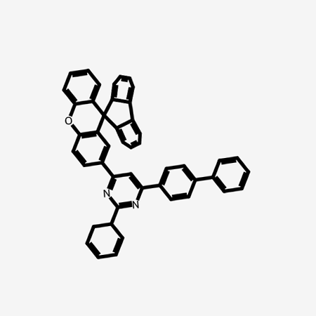 C1=CCC(c2nc(-c3ccc(-c4ccccc4)cc3)cc(-c3ccc4c(c3)C3(c5ccccc5O4)c4ccccc4-c4ccccc43)n2)C=C1